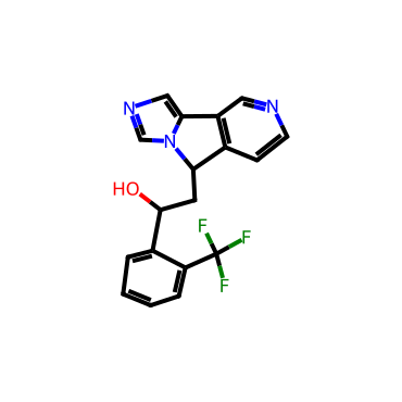 OC(CC1c2ccncc2-c2cncn21)c1ccccc1C(F)(F)F